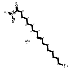 CCCCCCCCC=CCCCCCCCC(=O)[PH](=O)O.[Mo]